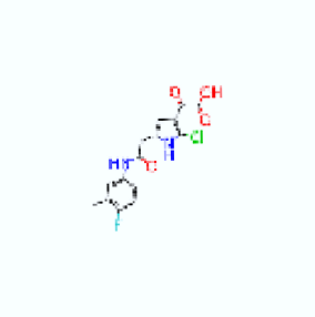 Cc1cc(NC(=O)Cc2cc(C(=O)C(=O)O)c(Cl)[nH]2)ccc1F